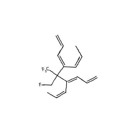 C=C/C=C(\C=C/C)C(CF)(C(/C=C\C)=C/C=C)C(F)(F)F